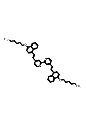 CCCCCCOc1ccc(C=Cc2ccnc(-c3cc(C=Cc4ccc(OCCCCCC)c5ccccc45)ccn3)c2)c2ccccc12